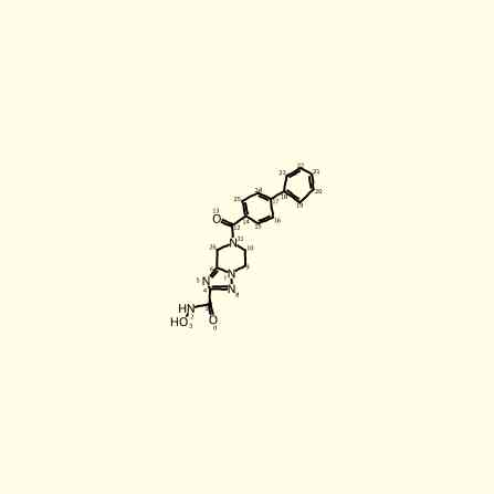 O=C(NO)c1nc2n(n1)CCN(C(=O)c1ccc(-c3ccccc3)cc1)C2